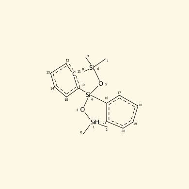 C[SiH](C)O[Si](O[Si](C)(C)C)(c1ccccc1)c1ccccc1